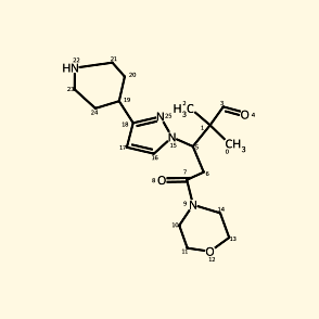 CC(C)(C=O)C(CC(=O)N1CCOCC1)n1ccc(C2CCNCC2)n1